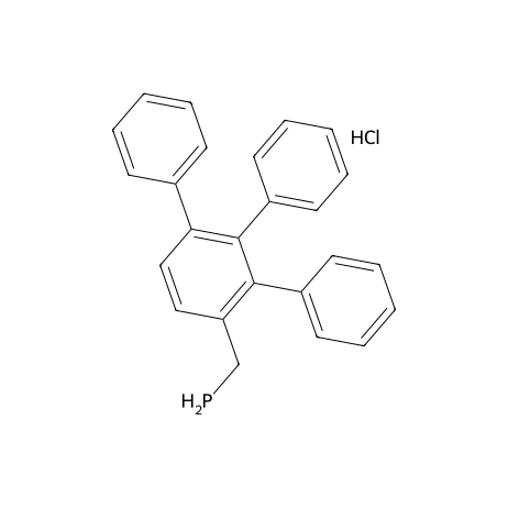 Cl.PCc1ccc(-c2ccccc2)c(-c2ccccc2)c1-c1ccccc1